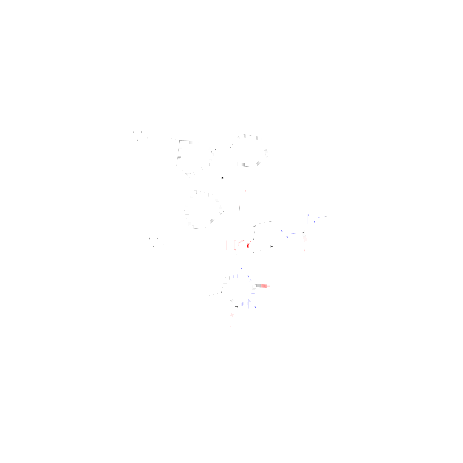 COc1ccc(C(OC[C@@]23CN(C(=O)N(C)C)[C@@H]([C@H](n4cc(C)c(=O)[nH]c4=O)O2)[C@@H]3O)(c2ccccc2)c2ccc(OC)cc2)cc1